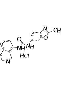 Cc1nc2ccc(NC(=O)Nc3ccnc4ccncc34)cc2o1.Cl